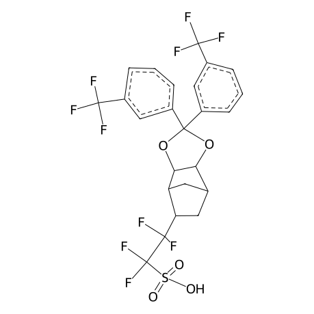 O=S(=O)(O)C(F)(F)C(F)(F)C1CC2CC1C1OC(c3cccc(C(F)(F)F)c3)(c3cccc(C(F)(F)F)c3)OC21